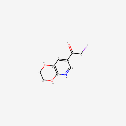 O=C(CI)c1cnc2c(c1)OCCO2